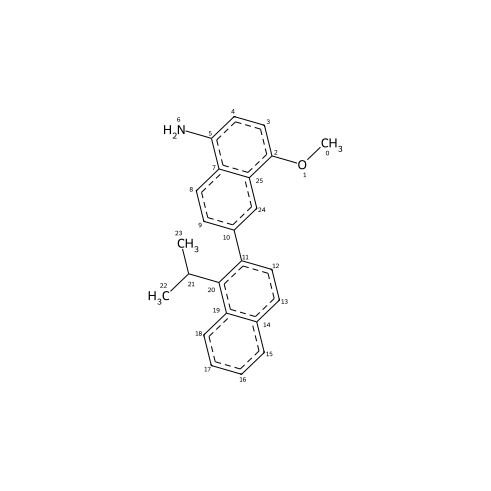 COc1ccc(N)c2ccc(-c3ccc4ccccc4c3C(C)C)cc12